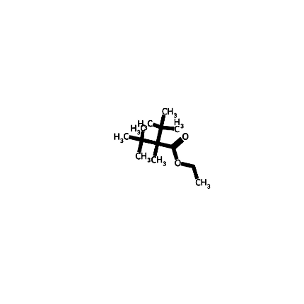 CCOC(=O)C(C)(C(C)(C)C)C(C)(C)C